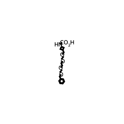 O=C(O)NC1CC(COCCOCCOCCOCc2ccccc2)C1